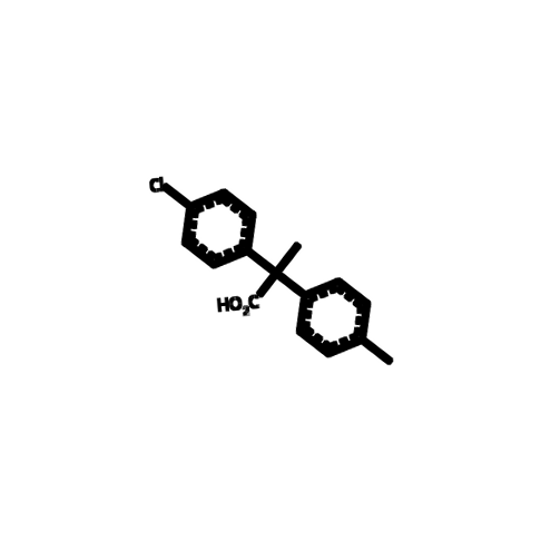 Cc1ccc(C(C)(C(=O)O)c2ccc(Cl)cc2)cc1